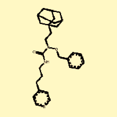 O=C(NCCCc1ccncc1)N(CCC12CC3CC(CC(C3)C1)C2)OCc1ccccc1